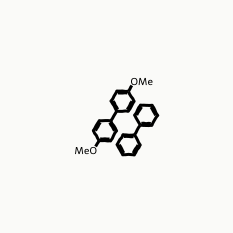 COc1ccc(-c2ccc(OC)cc2)cc1.c1ccc(-c2ccccc2)cc1